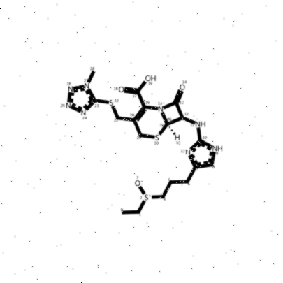 CC[S+]([O-])CCCc1c[nH]c(NC2C(=O)N3C(C(=O)O)=C(CSc4nnnn4C)CS[C@H]23)n1